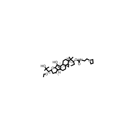 CCO[C@@H](C1C[C@@H](C)[C@H]2C(O1)[C@H](O)[C@@]1(C)C3CC[C@H]4C(C)(C)[C@@H](OC(=O)NCCN5CCC5)CC[C@@]45C[C@@]35CC[C@]21C)C(C)(C)O